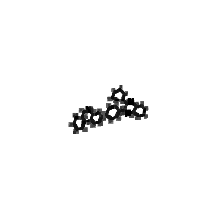 c1ccc(-c2nc3ccccc3nc2-c2ccc(-c3ccc4c(c3)ncc3ccccc34)cc2)cc1